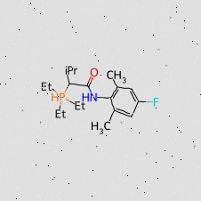 CC[PH](CC)(CC)C(C(=O)Nc1c(C)cc(F)cc1C)C(C)C